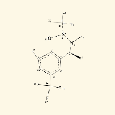 Cc1cc([C@H](C)N(C)[S+]([O-])C(C)(C)C)cc(C(F)(F)F)c1